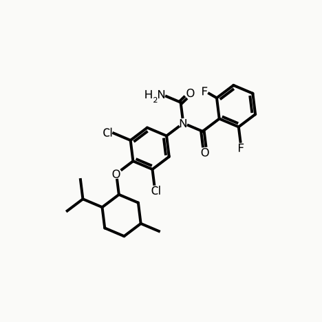 CC1CCC(C(C)C)C(Oc2c(Cl)cc(N(C(N)=O)C(=O)c3c(F)cccc3F)cc2Cl)C1